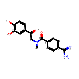 CN(CC(=O)c1ccc([O])c([O])c1)C(=O)c1ccc(C(=N)N)cc1